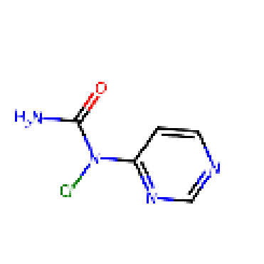 NC(=O)N(Cl)c1ccncn1